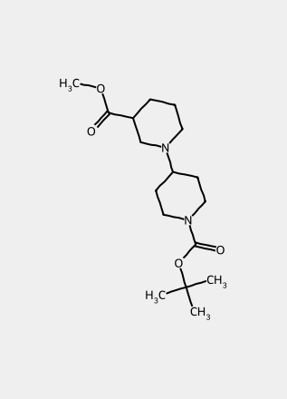 COC(=O)C1CCCN(C2CCN(C(=O)OC(C)(C)C)CC2)C1